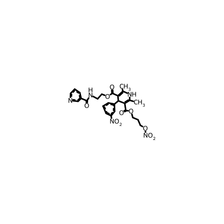 CC1=C(C(=O)OCCCO[N+](=O)[O-])C(c2cccc([N+](=O)[O-])c2)C(C(=O)OCCNC(=O)c2cccnc2)=C(C)N1